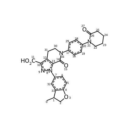 CC1COc2ccc(-n3nc(C(=O)O)c4c3C(=O)N(c3ccc(N5CCCCC5=O)cc3)CC4)cc21